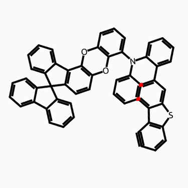 c1ccc2sc3cc(-c4ccccc4N(c4ccccc4)c4cccc5c4Oc4ccc6c(c4O5)-c4ccccc4C64c5ccccc5-c5ccccc54)ccc3c2c#1